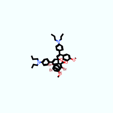 CCCN(CCC)c1ccc(/C(=C/C2(/C=C(\c3ccc(OC)cc3)c3ccc(N(CCC)CCC)cc3)OC(=O)c3c(Br)c(Br)c(Br)c(Br)c32)c2ccc(OC)cc2)cc1